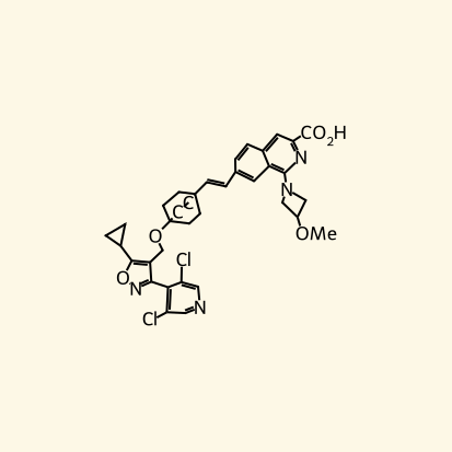 COC1CN(c2nc(C(=O)O)cc3ccc(C=CC45CCC(OCc6c(-c7c(Cl)cncc7Cl)noc6C6CC6)(CC4)CC5)cc23)C1